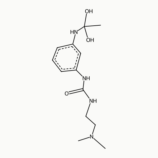 CN(C)CCNC(=O)Nc1cccc(NC(C)(O)O)c1